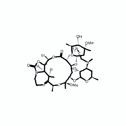 CC[C@H]1OC(=O)[C@H](C)[C@@H](O[C@H]2C[C@@](C)(OC)[C@@H](O)[C@H](C)O2)[C@H](C)[C@@H](O[C@@H]2O[C@H](C)C[C@H](N(C)CCN)[C@H]2O)[C@@](C)(OC)C[C@@H](C)C2=NCCN3C(=O)O[C@@]1(C)[C@H]3[C@H]2C